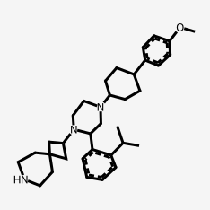 COc1ccc(C2CCC(N3CCN(C4CC5(CCNCC5)C4)C(c4ccccc4C(C)C)C3)CC2)cc1